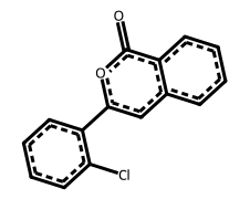 O=c1oc(-c2ccccc2Cl)cc2ccccc12